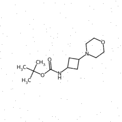 CC(C)(C)OC(=O)NC1CC(N2CCOCC2)C1